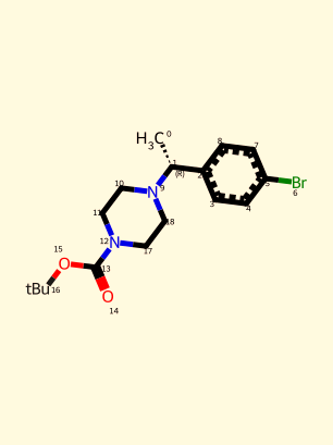 C[C@H](c1ccc(Br)cc1)N1CCN(C(=O)OC(C)(C)C)CC1